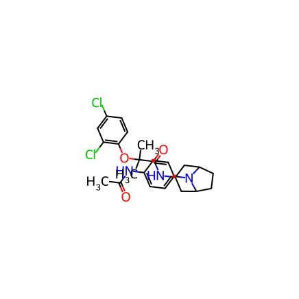 CC(=O)Nc1ccc(N2C3CCC2CC(NC(=O)C(C)(C)Oc2ccc(Cl)cc2Cl)C3)cc1